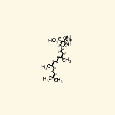 CC(C)=CCCC(C)=CCCC(C)=CCOCC(C(=O)O)P(=O)(O)O